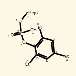 CCCCCCCOP(=O)(O)Oc1c(CC)cc(CC)cc1CC